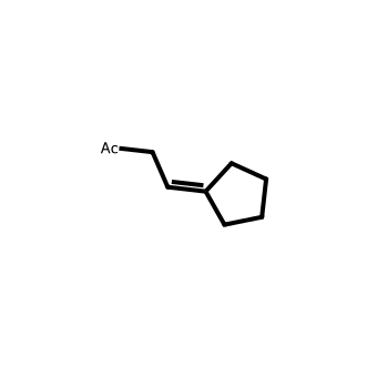 CC(=O)CC=C1CCCC1